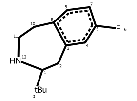 CC(C)(C)C1Cc2cc(F)ccc2CCN1